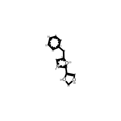 C1=C(c2ncc(Cc3ccccc3)o2)OCO1